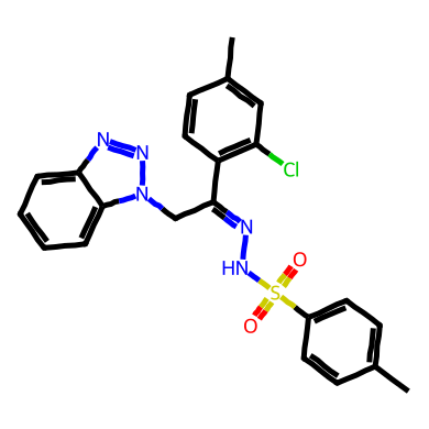 Cc1ccc(S(=O)(=O)N/N=C(\Cn2nnc3ccccc32)c2ccc(C)cc2Cl)cc1